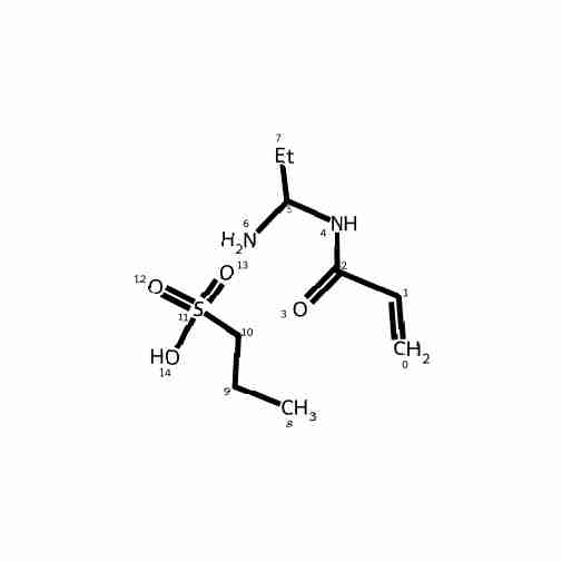 C=CC(=O)NC(N)CC.CCCS(=O)(=O)O